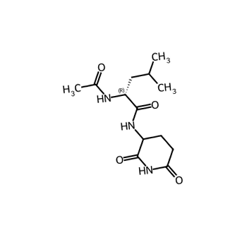 CC(=O)N[C@H](CC(C)C)C(=O)NC1CCC(=O)NC1=O